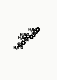 COc1ccccc1CNCc1ccc(-c2nn([C@H]3CC[C@@H](C(=O)N(C)C)CC3)c(N)c2C(N)=O)cc1